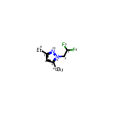 CCc1cc(C(C)(C)C)n(CC(F)F)n1